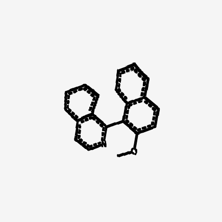 COc1ccc2ccccc2c1-c1nccc2ccccc12